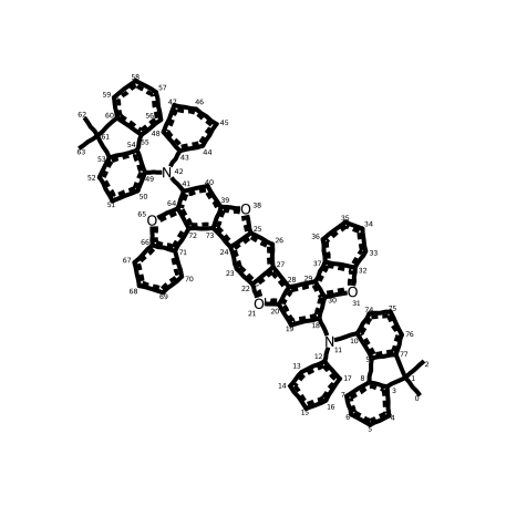 CC1(C)c2ccccc2-c2c(N(c3ccccc3)c3cc4oc5cc6c(cc5c4c4c3oc3ccccc34)oc3cc(N(c4ccccc4)c4cccc5c4-c4ccccc4C5(C)C)c4oc5ccccc5c4c36)cccc21